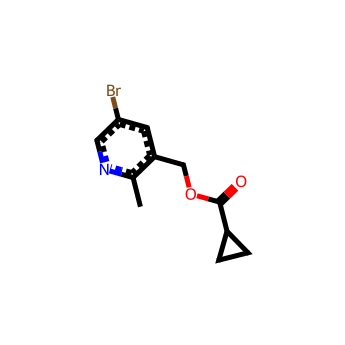 Cc1ncc(Br)cc1COC(=O)C1CC1